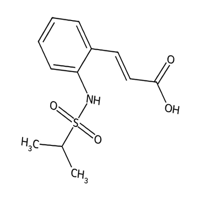 CC(C)S(=O)(=O)Nc1ccccc1/C=C/C(=O)O